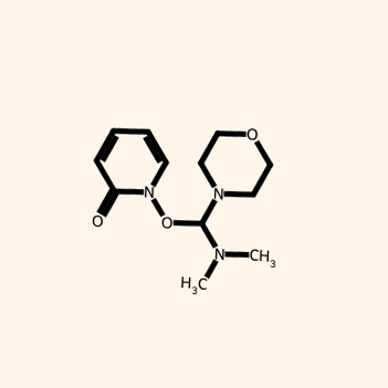 CN(C)C(On1ccccc1=O)N1CCOCC1